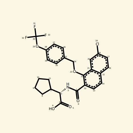 O=C(N[C@H](C(=O)O)C1CCCC1)c1ccc2ccc(Cl)cc2c1OCc1ccc(OC(F)(F)F)cc1